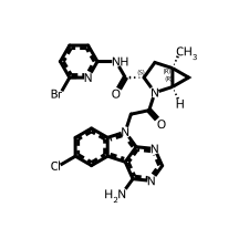 C[C@@]12C[C@@H](C(=O)Nc3cccc(Br)n3)N(C(=O)Cn3c4ccc(Cl)cc4c4c(N)ncnc43)[C@@H]1C2